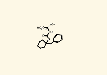 CCCC[C@H](NC(=O)OC1(Cc2ccccc2)CCCCC1)C(=O)O